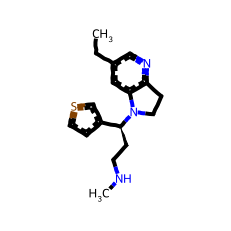 CCc1cnc2c(c1)N([C@@H](CCNC)c1ccsc1)CC2